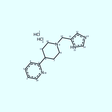 Cl.Cl.c1ccc(C2CCN(Cc3cnc[nH]3)CC2)nc1